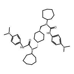 CN(C)c1ccc(NC(=O)N(C[C@H]2CC[C@H](CN(C(=O)Nc3ccc(N(C)C)cc3)C3CCCCCC3)CC2)C2CCCCCC2)cc1